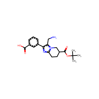 CC(C)(C)OC(=O)C1CCc2nc(-c3cccc(C(=O)O)c3)c(CN)n2C1